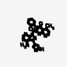 Cc1ccccc1-n1c(Cn2nc(-c3cn[nH]c3)c3c(N)ncnc32)nc2nccc(C)c2c1=O